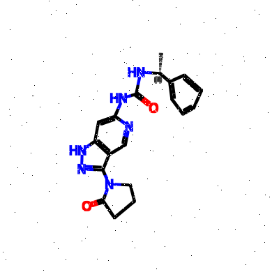 C[C@@H](NC(=O)Nc1cc2[nH]nc(N3CCCC3=O)c2cn1)c1ccccc1